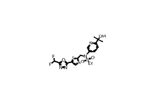 CCS(=O)(=O)N(Cc1ncc(-c2nnc(C(F)F)o2)s1)c1ccc(C(C)(C)O)nc1